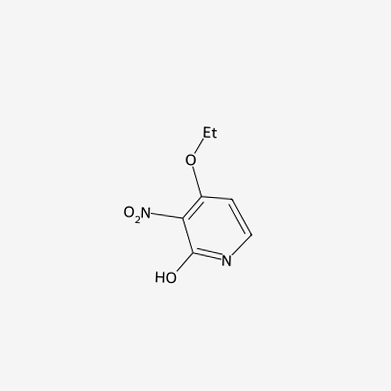 CCOc1ccnc(O)c1[N+](=O)[O-]